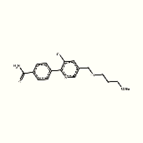 COCCCNCc1cnc(-c2ccc(C(N)=O)cc2)c(Cl)c1